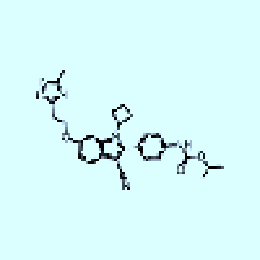 Cc1noc(CCOc2ccc3c(C#N)c(-c4ccc(NC(=O)OC(C)C)cc4)n(C4CCC4)c3c2)n1